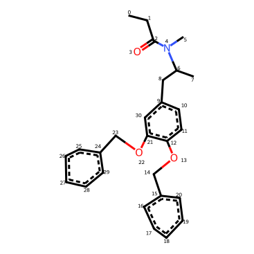 CCC(=O)N(C)C(C)Cc1ccc(OCc2ccccc2)c(OCc2ccccc2)c1